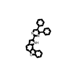 c1ccc(-c2cnc(-c3cc4ccc5oc6ccccc6c5c4[nH]3)nc2-c2ccccc2)cc1